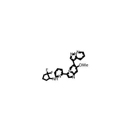 COc1cc2ncc(-c3cccc(NC4CCCC4(F)F)n3)n2cc1-c1cnn2ncccc12